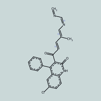 C=N\C=N/C=C(C)/C=C/C(=O)c1c(-c2ccccc2)c2cc(Cl)ccc2[nH]c1=O